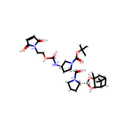 CC(C)(C)OC(=O)N1C[C@H](NC(=O)OCCN2C(=O)C=CC2=O)C[C@H]1C(=O)N1CCC[C@H]1B1OC2C3CC(CC2(C)O1)C3(C)C